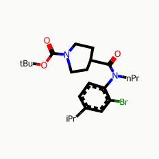 CCCN(C(=O)C1CCN(C(=O)OC(C)(C)C)CC1)c1ccc(C(C)C)cc1Br